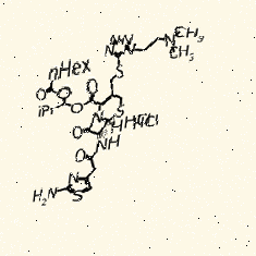 CCCCCCC(=O)OC(OC(=O)C1=C(CSc2nnnn2CCN(C)C)CS[C@H]2[C@H](NC(=O)Cc3csc(N)n3)C(=O)N12)C(C)C.Cl.Cl